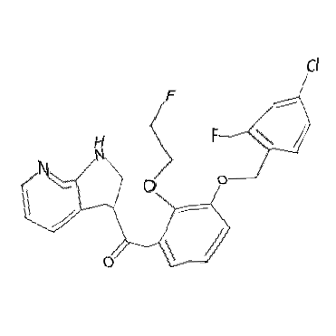 O=C(c1cccc(OCc2ccc(Cl)cc2F)c1OCCF)C1CNc2ncccc21